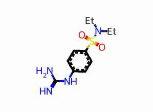 CCN(CC)S(=O)(=O)c1ccc(NC(=N)N)cc1